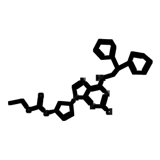 CCOC(=O)O[C@@H]1C=C[C@H](n2cnc3c(NCC(c4ccccc4)c4ccccc4)nc(Cl)nc32)C1